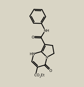 CCOC(=O)C1=CNC2=C(C(=O)Nc3ccccc3)CCN2C1=O